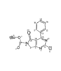 CC(C)(C)OC(=O)N1Cc2nc(Cl)nc(-c3ccccc3)c2C1=O